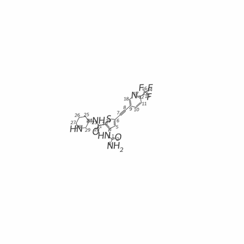 NC(=O)Nc1cc(C#Cc2ccc(C(F)(F)F)nc2)sc1C(=O)N[C@H]1CCCNC1